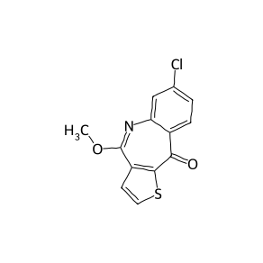 COc1nc2cc(Cl)ccc2c(=O)c2sccc12